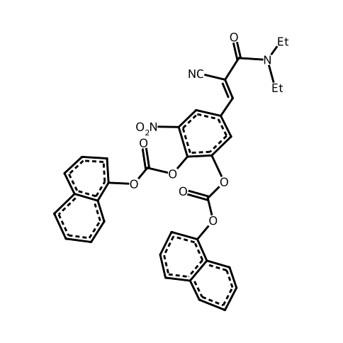 CCN(CC)C(=O)/C(C#N)=C/c1cc(OC(=O)Oc2cccc3ccccc23)c(OC(=O)Oc2cccc3ccccc23)c([N+](=O)[O-])c1